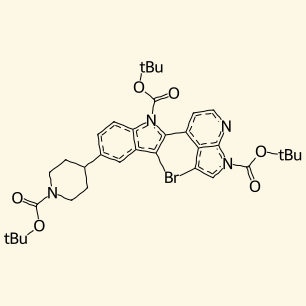 Cc1c(-c2ccnc3c2c(Br)cn3C(=O)OC(C)(C)C)n(C(=O)OC(C)(C)C)c2ccc(C3CCN(C(=O)OC(C)(C)C)CC3)cc12